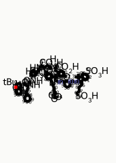 CC(C)(C)C(=O)CN1C(=O)[C@H](NC(=O)Nc2cccc(C(=O)N[C@H](CCC(=O)N[C@@H](Cc3ccc(OC4=C(/C=C/C5=[N+](CCCCS(=O)(=O)[O-])c6ccc(S(=O)(=O)O)cc6C5(C)C)CCC/C4=C\C=C4\N(CCCCS(=O)(=O)O)c5ccc(S(=O)(=O)O)cc5C4(C)C)cc3)C(=O)O)C(=O)O)c2)CN(C2CCCCC2)c2ccccc21